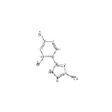 Nc1cc(-c2ncc(Br)cc2Cl)[nH]n1